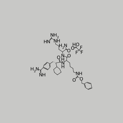 N=C(N)NCCCC(NC(=O)C(CCCCNC(=O)OCc1ccccc1)NC(=O)[C@@H](Cc1ccc(C(=N)N)cc1)C1CCCCC1)C(N)=O.O=C(O)C(F)(F)F